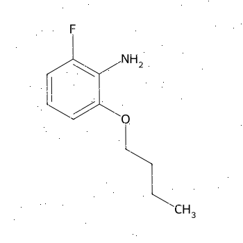 CCCCOc1cccc(F)c1N